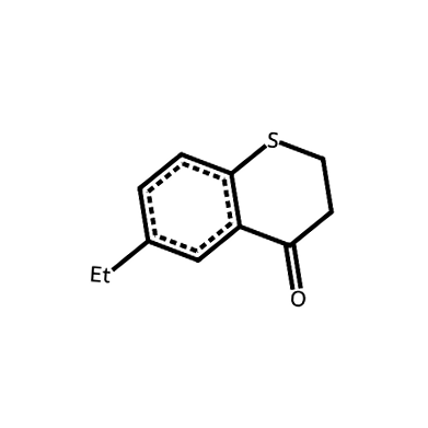 CCc1ccc2c(c1)C(=O)CCS2